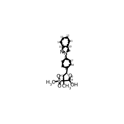 CC(CCc1ccc(-n2cc3ccccc3n2)cc1)(C(=O)O)S(C)(=O)=O